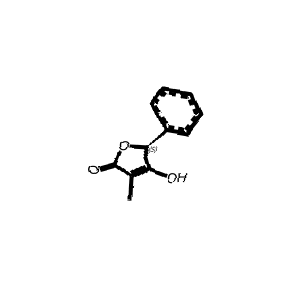 CC1=C(O)[C@H](c2ccccc2)OC1=O